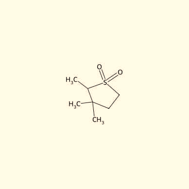 CC1C(C)(C)CCS1(=O)=O